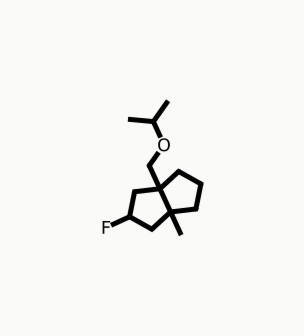 CC(C)OCC12CCCC1(C)CC(F)C2